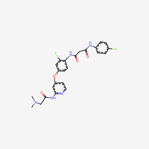 CN(C)CC(=O)Nc1cc(Oc2ccc(NC(=O)CC(=O)Nc3ccc(F)cc3)c(F)c2)ccn1